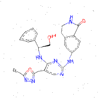 CCc1nnc(-c2cnc(Nc3ccc4c(c3)CCNC4=O)nc2N[C@H](CO)c2ccccc2)o1